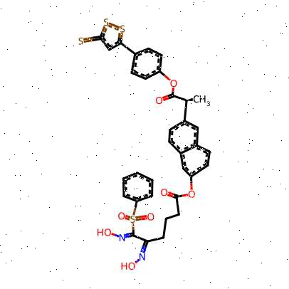 C[C@H](C(=O)Oc1ccc(-c2cc(=S)ss2)cc1)c1ccc2cc(OC(=O)CCCC(=N/O)/C(=N/O)S(=O)(=O)c3ccccc3)ccc2c1